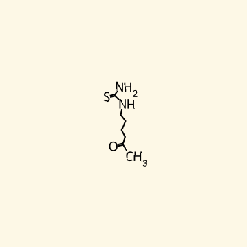 CC(=O)CCCCNC(N)=S